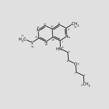 CCCOCCNc1nc(C)cc2cnc(SC)nc12